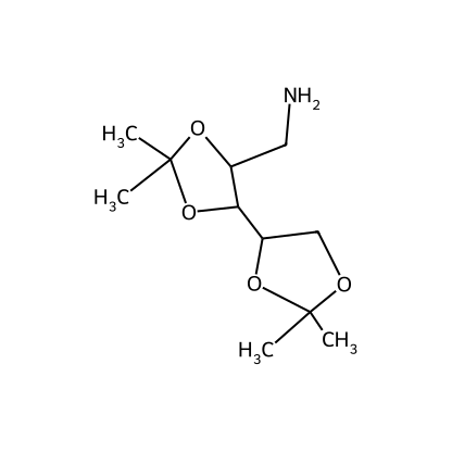 CC1(C)OCC(C2OC(C)(C)OC2CN)O1